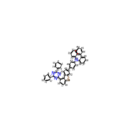 c1ccc(-c2nc(-c3ccccc3)nc(-c3cccc4sc5cc(-c6ccc(N(c7ccccc7)c7ccccc7-c7ccccc7)cc6)ccc5c34)n2)cc1